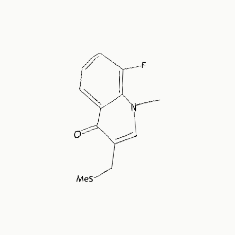 CSCc1cn(C)c2c(F)cccc2c1=O